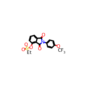 CCS(=O)(=O)Oc1cccc2c1C(=O)N(c1ccc(OC(F)(F)F)cc1)C2=O